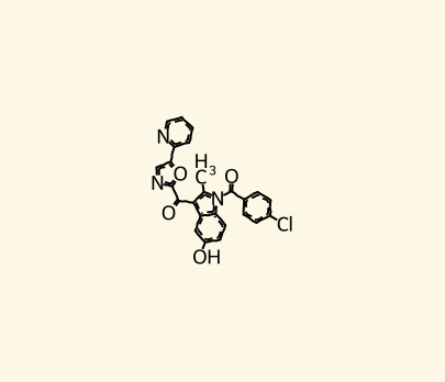 Cc1c(C(=O)c2ncc(-c3ccccn3)o2)c2cc(O)ccc2n1C(=O)c1ccc(Cl)cc1